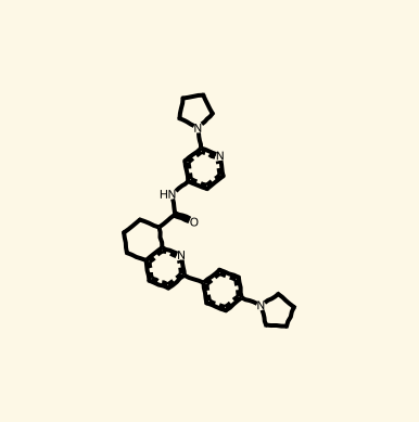 O=C(Nc1ccnc(N2CCCC2)c1)C1CCCc2ccc(-c3ccc(N4CCCC4)cc3)nc21